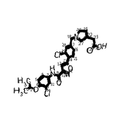 CC(C)Oc1ccc(NC(=O)c2cc(-c3ccc(CN4CCC(CC(=O)O)C4)cc3Cl)on2)cc1Cl